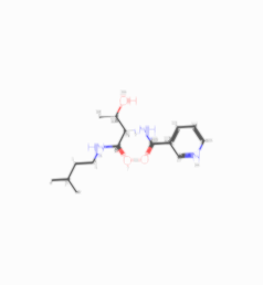 CC(C)C[CH]NC(=O)[C@@H](NC(=O)c1cccnc1)[C@@H](C)O